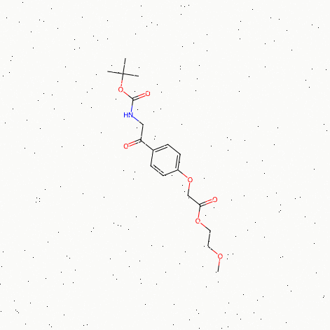 COCCOC(=O)COc1ccc(C(=O)CNC(=O)OC(C)(C)C)cc1